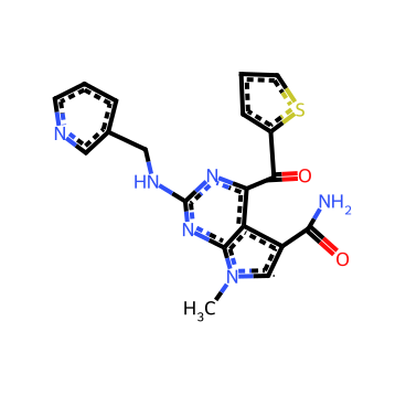 Cn1[c]c(C(N)=O)c2c(C(=O)c3cccs3)nc(NCc3cccnc3)nc21